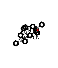 N#Cc1cc(C#N)c(-n2c3ccccc3c3ccc4c(c5ccccc5n4-c4ccccc4)c32)c(-n2c3ccccc3c3ccc4c(c5ccccc5n4-c4ccccc4)c32)c1-c1ccccc1